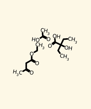 CC(=O)O.CCC(O)(CC)C(=O)O.CCOC(=O)CC(C)=O